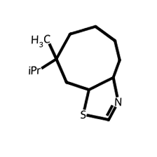 CC(C)C1(C)CCCCC2N=CSC2C1